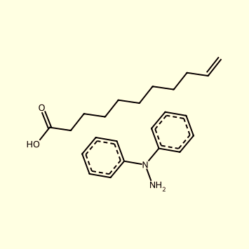 C=CCCCCCCCCC(=O)O.NN(c1ccccc1)c1ccccc1